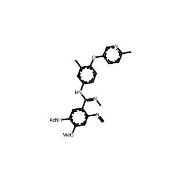 C=Nc1cc(OC)c(NC(C)=O)cc1/C(=N\C)Nc1ccc(Oc2ccc(C)nc2)c(C)c1